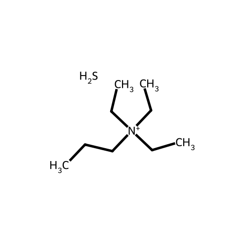 CCC[N+](CC)(CC)CC.S